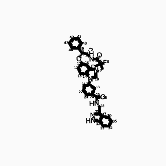 C[C@H](NC(=O)C(C)(F)F)[C@H](Oc1ccc2c(c1)ncn2-c1cccc(C(=O)NCc2n[nH]c3ccccc23)c1)c1ccccc1